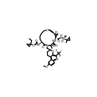 CCC1(OC(=O)N[C@H]2CCCCC/C=C\[C@@H]3C[C@@]3(C(=O)NS(=O)(=O)C3(C)CC3)NC(=O)[C@@H]3C[C@]4(CCc5c(c(C(F)(F)F)nc6ccc(OC)cc56)O4)CN3C2=O)CC1